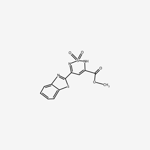 COC(=O)C1=CC(c2nc3ccccc3s2)=NS(=O)(=O)N1